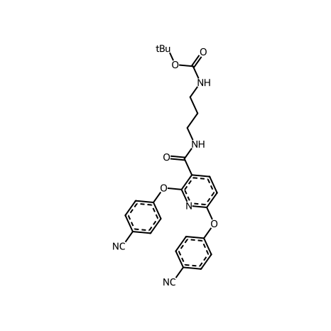 CC(C)(C)OC(=O)NCCCNC(=O)c1ccc(Oc2ccc(C#N)cc2)nc1Oc1ccc(C#N)cc1